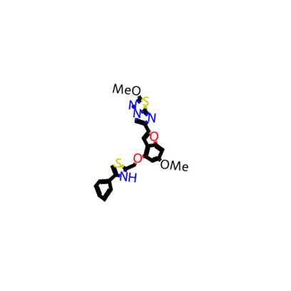 COc1cc(OCC2NC(c3ccccc3)=CS2)c2cc(-c3cn4nc(OC)sc4n3)oc2c1